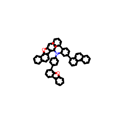 c1ccc(-c2ccc(-c3cccc4c3ccc3ccccc34)cc2N(c2ccc(-c3cccc4c3oc3ccccc34)cc2)c2cccc3oc4c5ccccc5ccc4c23)cc1